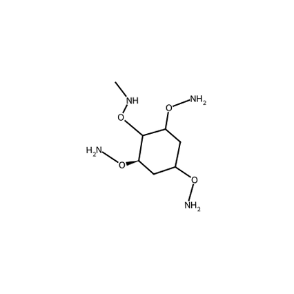 CNOC1C(ON)CC(ON)C[C@H]1ON